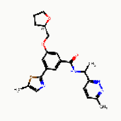 Cc1ccc(C(C)NC(=O)c2cc(OC[C@H]3CCCO3)cc(-c3ncc(C)s3)c2)nn1